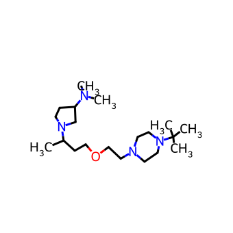 CC(CCOCCN1CCN(C(C)(C)C)CC1)N1CCC(N(C)C)C1